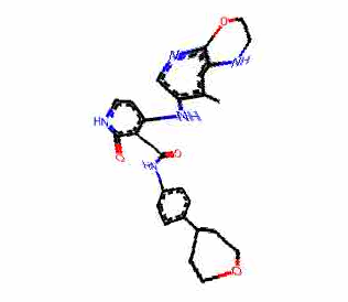 Cc1c(Nc2cc[nH]c(=O)c2C(=O)Nc2ccc(C3CCOCC3)cc2)cnc2c1NCCO2